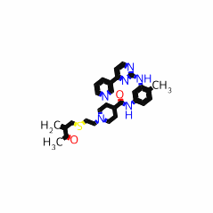 C=C(CSCCN1CCC(C(=O)Nc2ccc(C)c(Nc3nccc(-c4cccnc4)n3)c2)CC1)C(C)=O